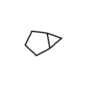 C1CC2CC2C1